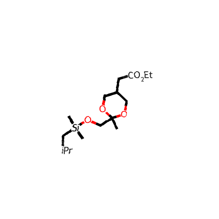 CCOC(=O)CC1COC(C)(CO[Si](C)(C)CC(C)C)OC1